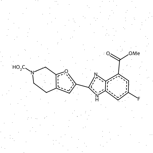 COC(=O)c1cc(F)cc2[nH]c(-c3cc4c(o3)CN(C(=O)O)CC4)nc12